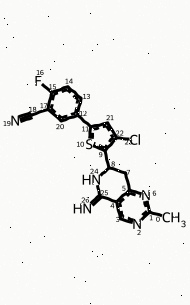 Cc1ncc2c(n1)CC(c1sc(-c3ccc(F)c(C#N)c3)cc1Cl)NC2=N